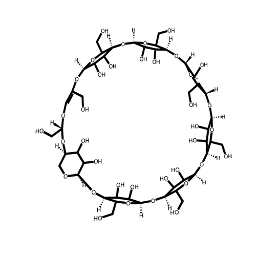 OC/C1=C\O[C@@H](CO)O[C@@H]2CO[C@H](O[C@@H]3C(CO)O[C@H](O[C@@H]4C(CO)O[C@H](O[C@@H]5C(CO)O[C@H](O[C@H]6CC(O)[C@H](OC6CO)O[C@@H]6C(CO)O[C@H](O[C@@H]7C(CO)O[C@H](O1)C(O)C7O)C(O)C6O)C(O)C5O)C(O)C4O)C(O)C3O)C(O)C2O